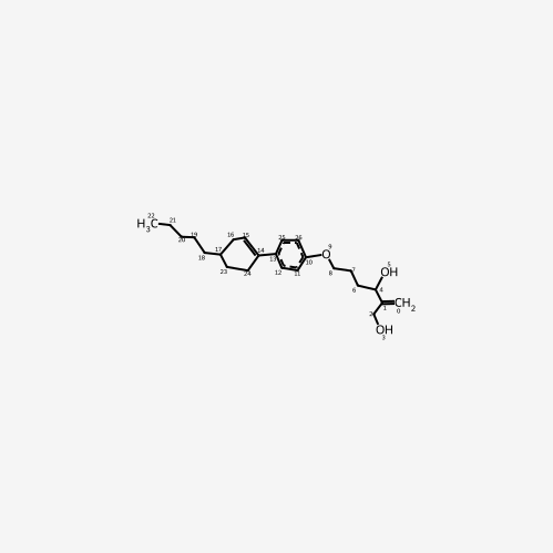 C=C(CO)C(O)CCCOc1ccc(C2=CCC(CCCCC)CC2)cc1